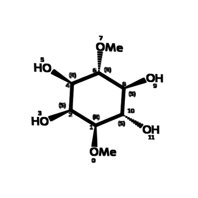 CO[C@H]1[C@@H](O)[C@@H](O)[C@H](OC)[C@@H](O)[C@@H]1O